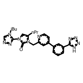 CCCc1cn(-c2nncn2C(C)CC)c(=O)n1Cc1cc(-c2cccc(-c3nnn[nH]3)c2)ccn1